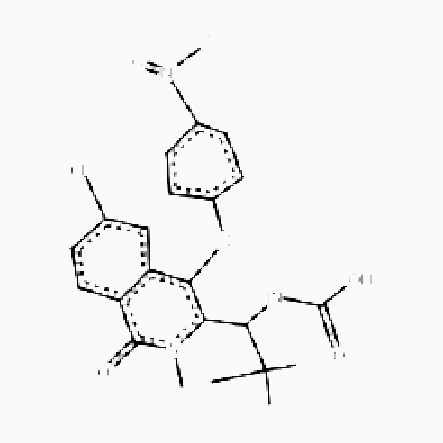 Cn1c(C(NC(=O)O)C(C)(C)C)c(Oc2ccc([N+](=O)[O-])cc2)c2cc(Cl)ccc2c1=O